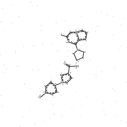 Cc1cn2cccc2c(N2CC[C@H](NC(=O)c3ccn(-c4ccc(Cl)cc4)n3)C2)n1